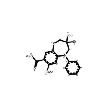 CCCCC1(CC)CSc2cc(C(=O)OC)c(OC)cc2N(c2ccccc2)C1